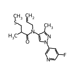 C=CCN(C(=O)C(C)CSC)c1cn(-c2cncc(F)c2)nc1C